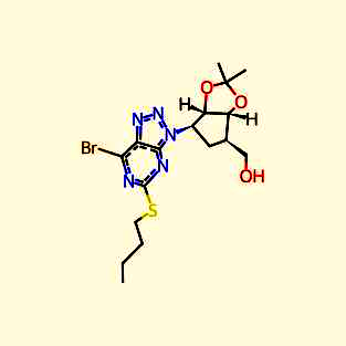 CCCCSc1nc(Br)c2nnn([C@@H]3C[C@H](CO)[C@H]4OC(C)(C)O[C@H]43)c2n1